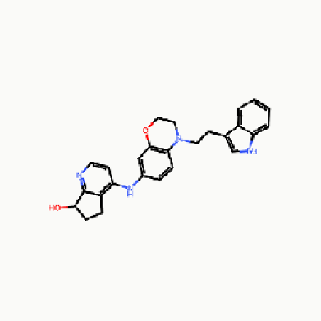 OC1CCc2c(Nc3ccc4c(c3)OCCN4CCc3c[nH]c4ccccc34)ccnc21